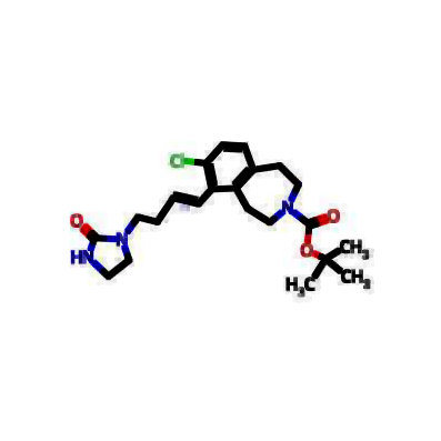 CC(C)(C)OC(=O)N1CCc2ccc(Cl)c(/C=C/CCN3CCNC3=O)c2CC1